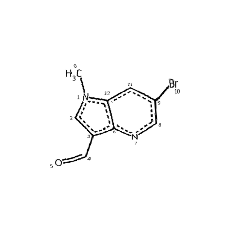 Cn1cc(C=O)c2ncc(Br)cc21